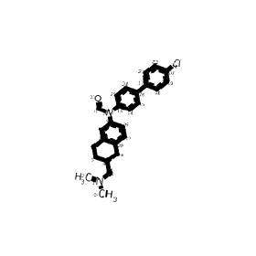 CN(C)CC1CCc2cc(N(C=O)c3ccc(-c4ccc(Cl)cc4)cc3)ccc2C1